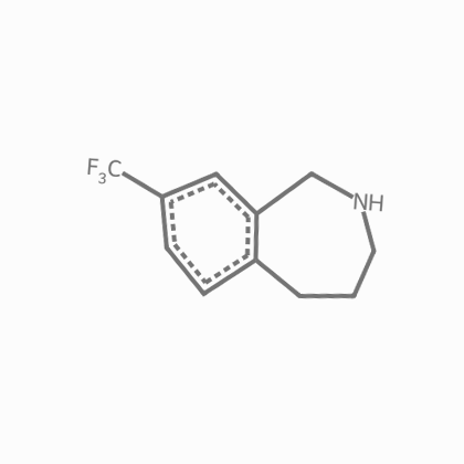 FC(F)(F)c1ccc2c(c1)CNCCC2